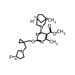 COC(=O)c1c(C)nc(OCC2(CN3CC[C@@H](F)C3)CC2)nc1N1C[C@H]2CC[C@@](C)(C2)C1